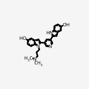 CN(C)CCCn1c(-c2cncc(-c3cc4cc(O)ccc4[nH]3)c2)cc2cc(O)ccc21